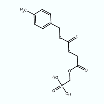 Cc1ccc(CSC(=S)SCC(=O)OCP(=O)(O)O)cc1